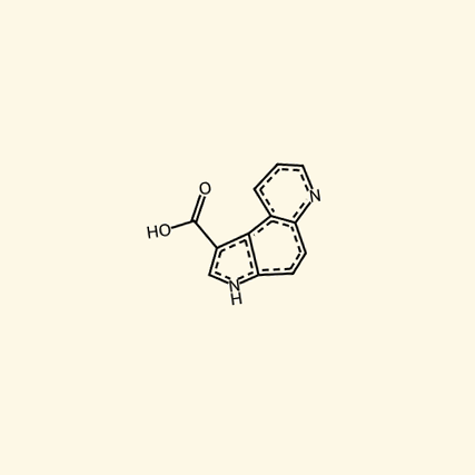 O=C(O)c1c[nH]c2ccc3ncccc3c12